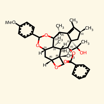 COc1ccc(C2O[C@H]3C[C@H]4OC[C@@]4(C)[C@H]4[C@H](OC(=O)c5ccccc5)[C@]5(C(C)(C)O)C[C@H](C)C(C)=C5[C@@H](C)[C@H](O2)[C@]34C)cc1